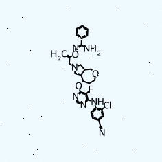 C=C(CN1CC2COCC[C@H](Oc3ncnc(Nc4ccc(C#N)cc4Cl)c3F)C2C1)O/N=C(\N)c1ccccc1